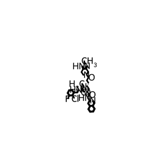 Cc1nc2c([nH]1)CCN(C(=O)CC[C@H](COC(=O)Nc1cc3ccccc3cn1)N(C)C(=O)NCc1cccc(F)c1Cl)C2